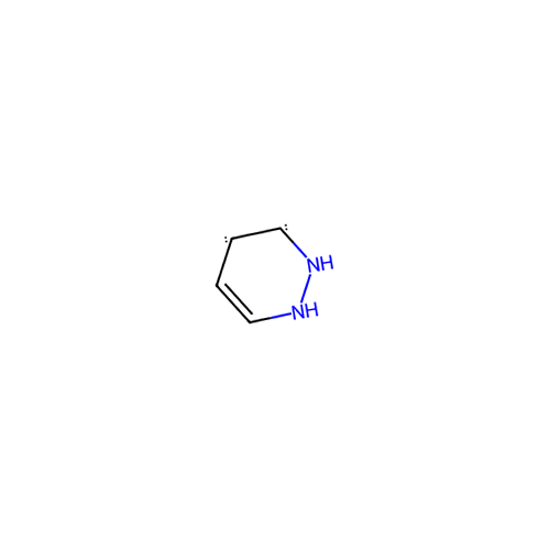 [C]1[C]NNC=C1